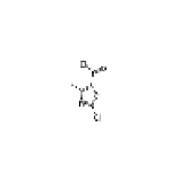 Cn1nc(Cl)cc1C(=O)Cl